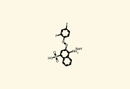 Nc1c(/N=N/c2ccc(F)cc2F)cc(S(=O)(=O)O)c2ccccc12.[NaH]